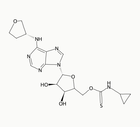 O[C@@H]1[C@H](O)C(COC(=S)NC2CC2)O[C@H]1n1cnc2c(N[C@@H]3CCOC3)ncnc21